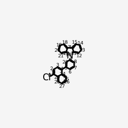 Clc1ccc(-c2cccc(-n3c4ccccc4c4ccccc43)c2)c2ccccc12